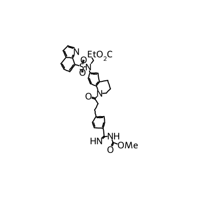 CCOC(=O)CN(c1ccc2c(c1)CCCN2C(=O)CCc1ccc(C(=N)NC(=O)OC)cc1)S(=O)(=O)c1cccc2cccnc12